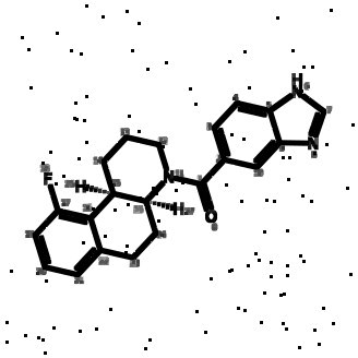 O=C(c1ccc2[nH]cnc2c1)N1CCC[C@@H]2c3c(F)cccc3CC[C@@H]21